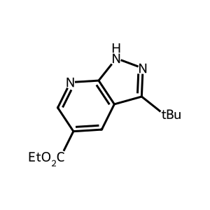 CCOC(=O)c1cnc2[nH]nc(C(C)(C)C)c2c1